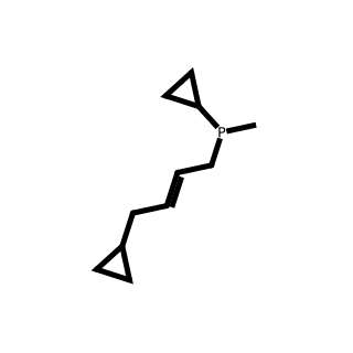 CP(CC=CCC1CC1)C1CC1